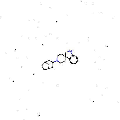 c1ccc2c(c1)NCC21CCN(C2CC3CCC(C3)C2)CC1